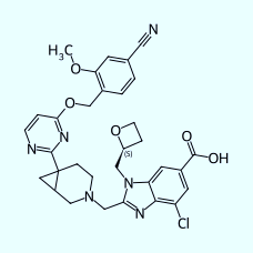 COc1cc(C#N)ccc1COc1ccnc(C23CCN(Cc4nc5c(Cl)cc(C(=O)O)cc5n4C[C@@H]4CCO4)CC2C3)n1